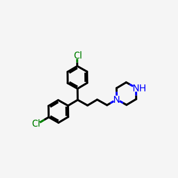 Clc1ccc(C(CCCN2CCNCC2)c2ccc(Cl)cc2)cc1